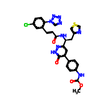 COC(=O)Nc1ccc(-c2cc([C@H](Cc3cscn3)NC(=O)/C=C/c3cc(Cl)ccc3-n3cnnn3)n[nH]c2=O)cc1